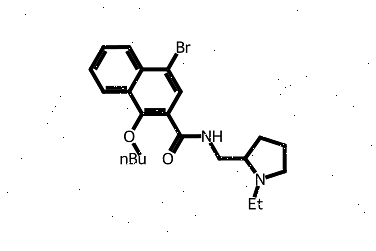 CCCCOc1c(C(=O)NCC2CCCN2CC)cc(Br)c2ccccc12